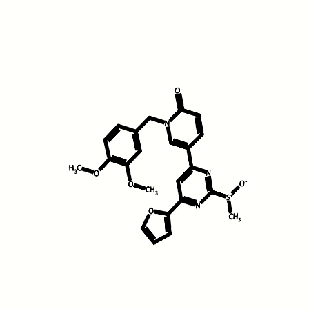 COc1ccc(Cn2cc(-c3cc(-c4ccco4)nc([S+](C)[O-])n3)ccc2=O)cc1OC